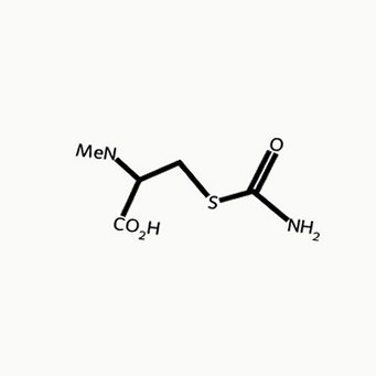 CNC(CSC(N)=O)C(=O)O